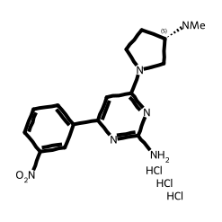 CN[C@H]1CCN(c2cc(-c3cccc([N+](=O)[O-])c3)nc(N)n2)C1.Cl.Cl.Cl